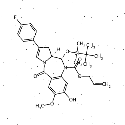 C=CCOC(=O)N1c2cc(O)c(OC)cc2C(=O)N2C=C(c3ccc(F)cc3)C[C@H]2[C@@H]1O[Si](C)(C)C(C)(C)C